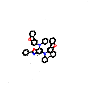 c1ccc(-c2nc3cc(N(c4ccc5oc6ccccc6c5c4)c4ccccc4-c4ccccc4)cc(N(c4ccccc4)c4ccc5oc6ccccc6c5c4)c3o2)cc1